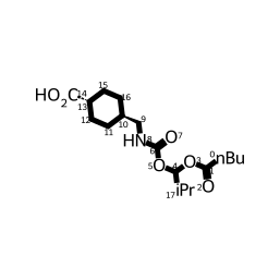 CCCCC(=O)OC(OC(=O)NC[C@H]1CC[C@H](C(=O)O)CC1)C(C)C